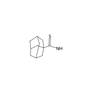 [NH]C(=S)C12CC3CC(CC(C3)C1)C2